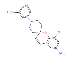 Cc1cccc(N2CCC3(C=Cc4cc(N)cc(Cl)c4O3)CC2)c1